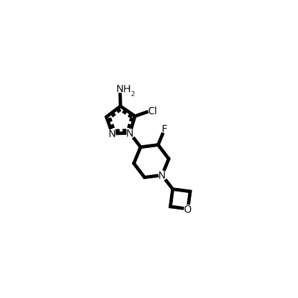 Nc1cnn(C2CCN(C3COC3)CC2F)c1Cl